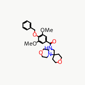 COc1cc(C(=O)NCC2(N3CCOCC3)CCOCC2)cc(OC)c1OCc1ccccc1